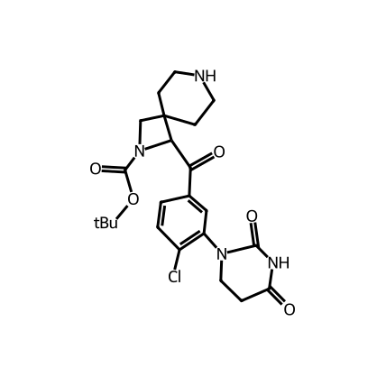 CC(C)(C)OC(=O)N1CC2(CCNCC2)C1C(=O)c1ccc(Cl)c(N2CCC(=O)NC2=O)c1